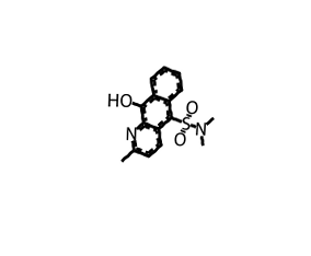 Cc1ccc2c(S(=O)(=O)N(C)C)c3ccccc3c(O)c2n1